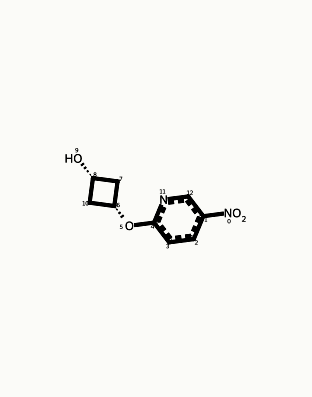 O=[N+]([O-])c1ccc(O[C@H]2C[C@@H](O)C2)nc1